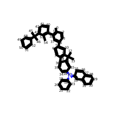 Cc1ccc(-c2ccc3c(c2)C(C)(C)c2cc(N(c4ccccc4)c4ccc5ccccc5c4)ccc2-3)cc1-c1cccc(C(C)(C)c2ccccc2)c1C